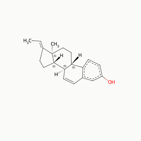 CC=C1CC[C@H]2[C@@H]3C=Cc4cc(O)ccc4[C@H]3CC[C@]12C